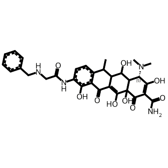 CC1c2ccc(NC(=O)CNCc3ccccc3)c(O)c2C(=O)C2=C(O)C3(O)C(=O)C(C(N)=O)=C(O)[C@@H](N(C)C)C3C(O)C21